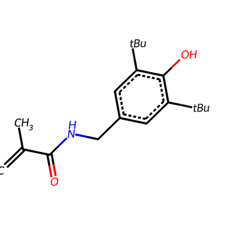 C=C(C)C(=O)NCc1cc(C(C)(C)C)c(O)c(C(C)(C)C)c1